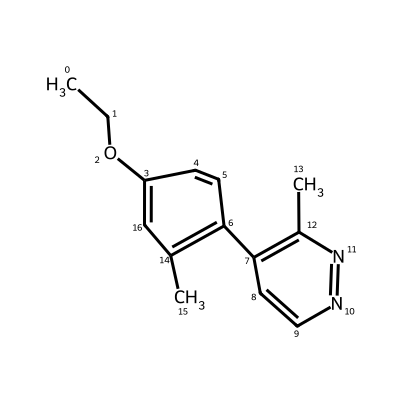 CCOc1ccc(-c2ccnnc2C)c(C)c1